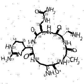 C[C@@H]1NC(=O)[C@@H](N)CNC(=O)[C@H]([C@@H]2CCNC(N)=N2)NC(=O)/C(=C/NC(N)=O)NC(=O)[C@H](CN)NC1=O